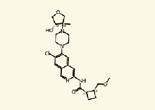 COC[C@H]1CC[C@H]1C(=O)Nc1cc2cc(N3CCN([C@@]4(C)COC[C@H]4O)CC3)c(Cl)cc2cn1